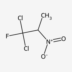 CC([N+](=O)[O-])C(F)(Cl)Cl